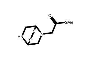 CSC(=O)CN1CC2CCC1CN2